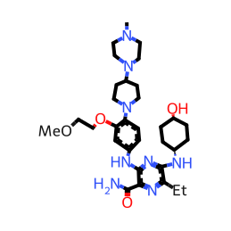 CCc1nc(C(N)=O)c(Nc2ccc(N3CCC(N4CCN(C)CC4)CC3)c(OCCOC)c2)nc1N[C@H]1CC[C@H](O)CC1